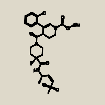 C[C@H](/C=C\S(C)(=O)=O)NC(=O)C1(F)CCN(C(=O)C2CCN(C(=O)OC(C)(C)C)C=C2c2ccccc2Cl)CC1